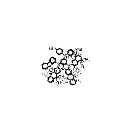 Cc1cc2c(cc1N1c3cc4c(cc3B3c5cc6c(cc5N(c5cccc7c5sc5ccccc57)c5cc(N(c7ccc(C(C)(C)C)cc7)c7ccc(C(C)(C)C)cc7)cc1c53)C(C)(C)c1ccccc1C6(C)C)C(C)(C)c1ccccc1C4(C)C)C(C)(C)CCC2(C)C